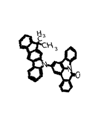 CC1(C)c2ccccc2-c2cc3c4ccccc4n(-c4cc5c6ccccc6c(=O)n6c7ccccc7c(c4)c56)c3cc21